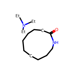 CCN(CC)CC.O=C1CCCCCCCCCN1